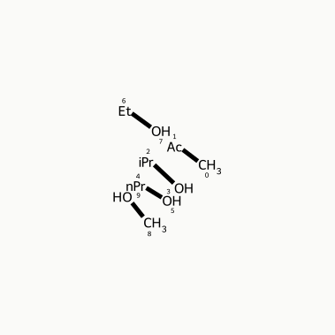 CC(C)=O.CC(C)O.CCCO.CCO.CO